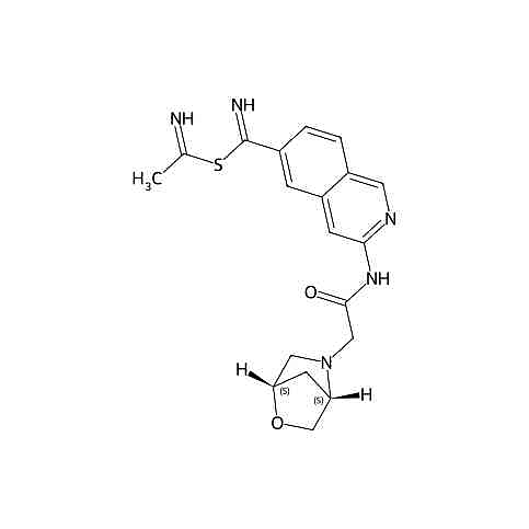 CC(=N)SC(=N)c1ccc2cnc(NC(=O)CN3C[C@@H]4C[C@H]3CO4)cc2c1